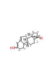 C[C@]12CC[C@H]3[C@@H](CC=C4C=C(O)CC[C@@H]43)[C@@H]1CCC2=O